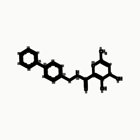 CC1=CC(O)C(O)=C(C(=O)NCc2ccc(-c3ccccc3)cc2)O1